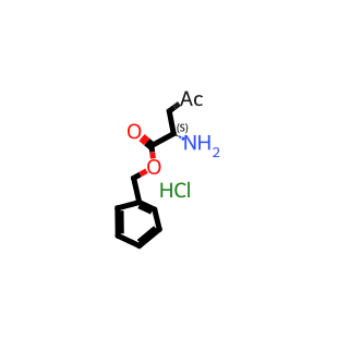 CC(=O)C[C@H](N)C(=O)OCc1ccccc1.Cl